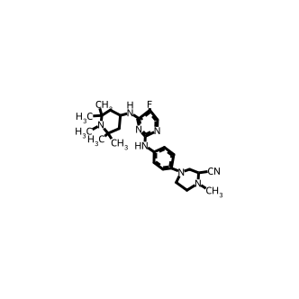 CN1CCN(c2ccc(Nc3ncc(F)c(NC4CC(C)(C)N(C)C(C)(C)C4)n3)cc2)CC1C#N